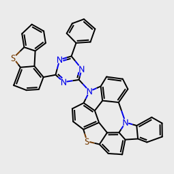 c1ccc(-c2nc(-c3cccc4sc5ccccc5c34)nc(-n3c4ccc5sc6ccc7c8ccccc8n8c9cccc3c9c4c5c6c78)n2)cc1